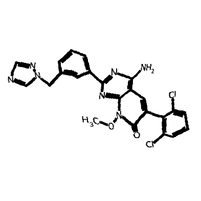 COn1c(=O)c(-c2c(Cl)cccc2Cl)cc2c(N)nc(-c3cccc(Cn4cncn4)c3)nc21